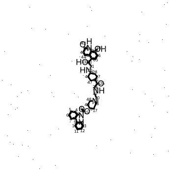 O=C(Nc1ccccc1-c1ccccc1)OC1CCN(CCNCC(=O)C2CCC(NC[C@H](O)c3ccc(O)c4[nH]c(=O)ccc34)CC2)CC1